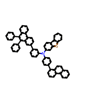 c1ccc(-c2c(-c3ccccc3)c3cc(-c4cccc(N(c5ccc(-c6cccc7c6ccc6ccccc67)cc5)c5ccc6c(c5)sc5ccccc56)c4)ccc3c3ccccc23)cc1